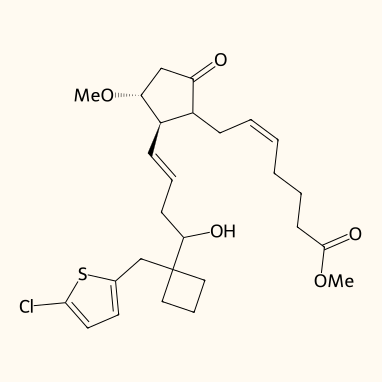 COC(=O)CCC/C=C\CC1C(=O)C[C@@H](OC)[C@@H]1/C=C/CC(O)C1(Cc2ccc(Cl)s2)CCC1